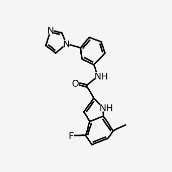 Cc1ccc(F)c2cc(C(=O)Nc3cccc(-n4ccnc4)c3)[nH]c12